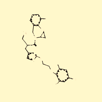 Cc1cc(Cl)c(OCCOc2ncc(CC(CN)C(=O)N(Cc3cccc(C)c3C)C3CC3)s2)c(Cl)c1